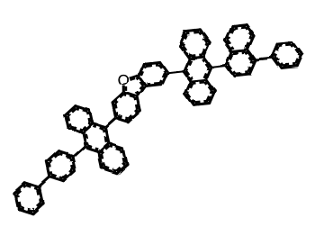 c1ccc(-c2ccc(-c3c4ccccc4c(-c4ccc5c(c4)oc4ccc(-c6c7ccccc7c(-c7ccc(-c8ccccc8)c8ccccc78)c7ccccc67)cc45)c4ccccc34)cc2)cc1